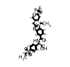 CCn1c(C[C@@H]2CC[C@H](C(F)(F)F)OC2)nc2cc(C(=O)N[C@@H](CO)c3ccc(S(=O)(=O)CC)cc3)ccc21